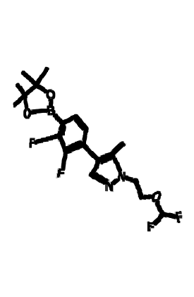 Cc1c(-c2ccc(B3OC(C)(C)C(C)(C)O3)c(F)c2F)cnn1CCOC(F)F